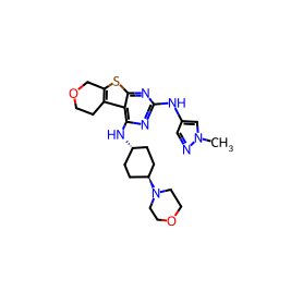 Cn1cc(Nc2nc(N[C@H]3CC[C@H](N4CCOCC4)CC3)c3c4c(sc3n2)COCC4)cn1